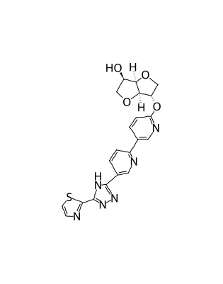 O[C@@H]1CO[C@H]2[C@@H]1OC[C@@H]2Oc1ccc(-c2ccc(-c3nnc(-c4nccs4)[nH]3)cn2)cn1